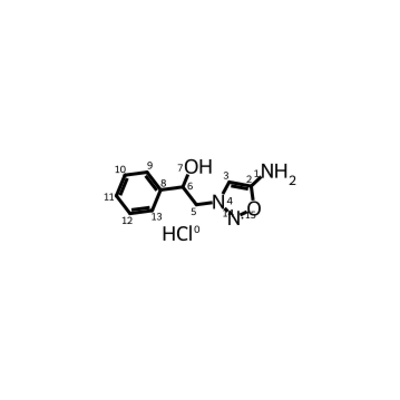 Cl.NC1=CN(CC(O)c2ccccc2)[N]O1